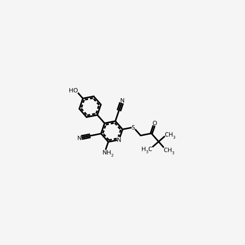 CC(C)(C)C(=O)CSc1nc(N)c(C#N)c(-c2ccc(O)cc2)c1C#N